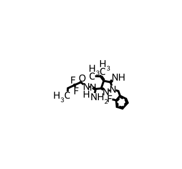 CCC(F)(F)C(=O)N/N=C(\N)C1=NN(Cc2ccccc2F)C(=N)C1=C(C)C